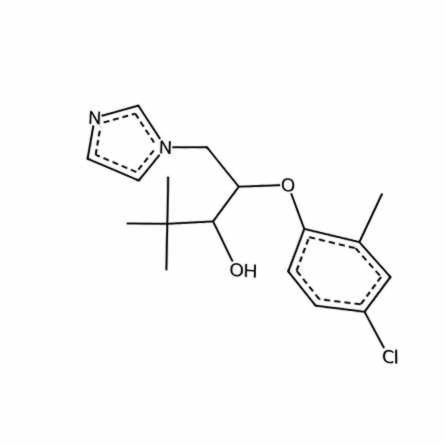 Cc1cc(Cl)ccc1OC(Cn1ccnc1)C(O)C(C)(C)C